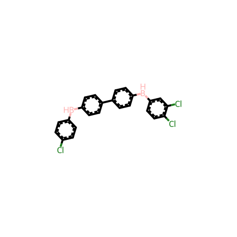 Clc1ccc(Bc2ccc(-c3ccc(Bc4ccc(Cl)c(Cl)c4)cc3)cc2)cc1